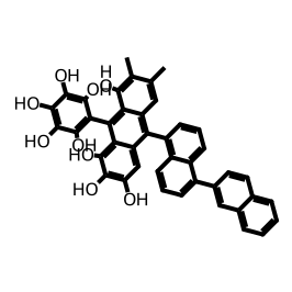 Cc1cc2c(-c3cccc4c(-c5ccc6ccccc6c5)cccc34)c3cc(O)c(O)c(O)c3c(-c3c(O)c(O)c(O)c(O)c3O)c2c(O)c1C